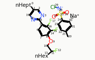 CCCCCCCc1cnc(-c2ccc(OCC(F)CCCCCC)c(F)c2F)nc1.Cc1ccc(S(=O)(=O)[N-]Cl)cc1.[Na+]